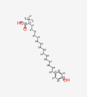 CC(C)(C)C(CCCCCCCCCCCCCCCCc1ccc(O)cc1)C(=O)O